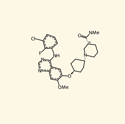 CNC(=O)[C@@H]1CCCN([C@H]2CC[C@H](Oc3cc4c(Nc5cccc(Cl)c5F)ncnc4cc3OC)CC2)C1